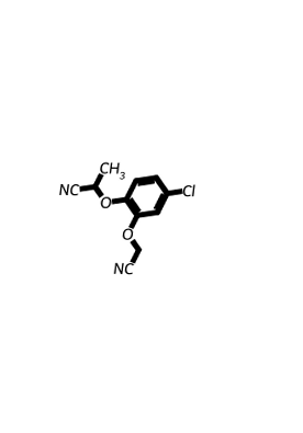 CC(C#N)Oc1ccc(Cl)cc1OCC#N